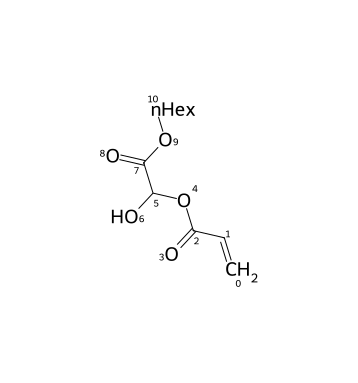 C=CC(=O)OC(O)C(=O)OCCCCCC